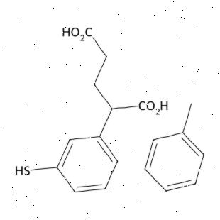 Cc1ccccc1.O=C(O)CCC(C(=O)O)c1cccc(S)c1